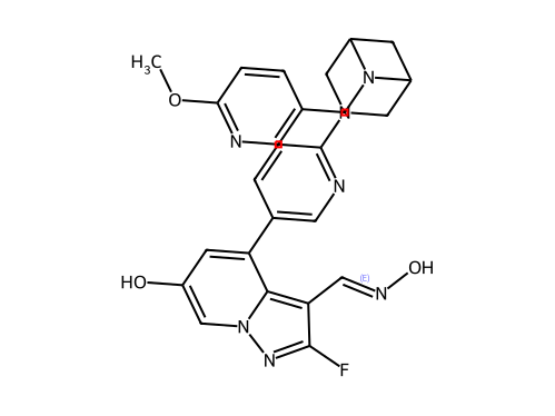 COc1ccc(CN2C3CC2CN(c2ccc(-c4cc(O)cn5nc(F)c(/C=N/O)c45)cn2)C3)cn1